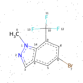 Cn1ncc2cc(Br)cc(C(F)(F)F)c21